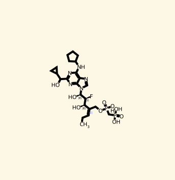 CC/C=C(/COP(=O)(O)CP(=O)(O)O)[C@@H](O)[C@H](F)[C@@H](O)n1cnc2c(NC3CCCC3)nc(C(O)C3CC3)nc21